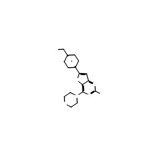 CCC12CCC(c3cc4nc(Cl)nc(N5CCOCC5)c4s3)(CC1)OC2